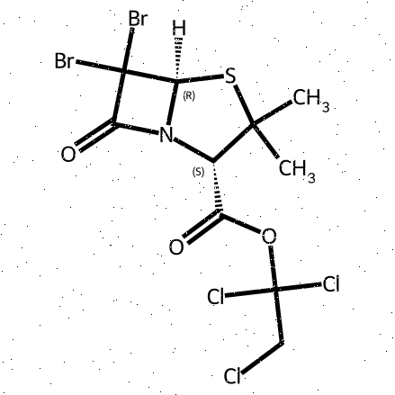 CC1(C)S[C@H]2N(C(=O)C2(Br)Br)[C@H]1C(=O)OC(Cl)(Cl)CCl